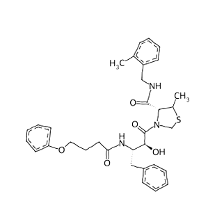 Cc1ccccc1CNC(=O)[C@@H]1C(C)SCN1C(=O)[C@@H](O)[C@H](Cc1ccccc1)NC(=O)CCCOc1ccccc1